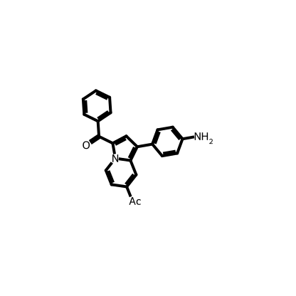 CC(=O)c1ccn2c(C(=O)c3ccccc3)cc(-c3ccc(N)cc3)c2c1